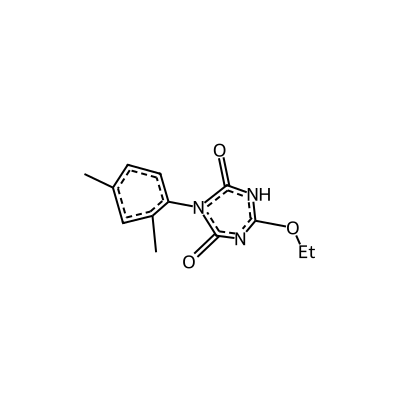 CCOc1nc(=O)n(-c2ccc(C)cc2C)c(=O)[nH]1